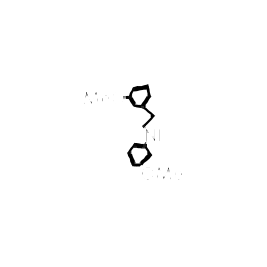 COc1cccc(CCNc2cccc(OC)c2)c1